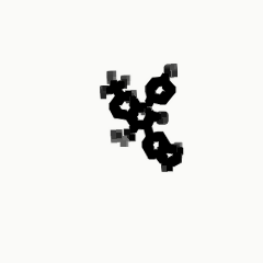 Nc1c(-c2ccc3ncsc3c2)c(=O)n(-c2ccc(Cl)cc2)c2nc(C(F)(F)F)ccc12